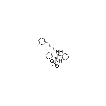 CC1=CCC=C(CCCCN[C@@H](c2ccccc2)[C@@H](NS(C)(=O)=O)c2ccccc2)C1